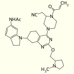 C=CC(=O)N1CCN(c2nc(OCC3CCCN3C)nc3c2CCC(N2CCc4ccc(NC(C)=O)cc42)C3)CC1CC#N